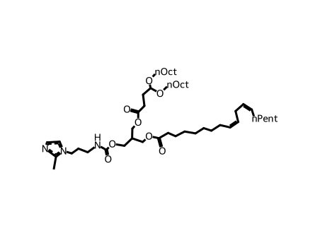 CCCCC/C=C\C/C=C\CCCCCCCC(=O)OCC(COC(=O)CCC(OCCCCCCCC)OCCCCCCCC)COC(=O)NCCCn1ccnc1C